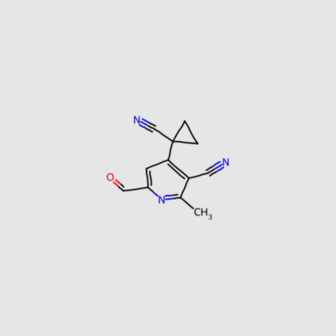 Cc1nc(C=O)cc(C2(C#N)CC2)c1C#N